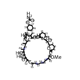 CO[C@H]1C[C@@H]2CCCC(O2)C(=O)C(=O)N2CCCC[C@H]2CO[C@H]([C@H](N)C[C@H]2CC[C@H](OC(N)=O)CC2)CC(N=[N+]=[N-])C(C)/C=C(\C)[C@@H](O)[C@@H](O)C(=O)[C@H](C)C[C@H](C)/C=C/C=C/C=C/1C